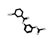 CC(C)C(=O)Oc1cccc(OC(=O)C2CCCC(O)C2)c1